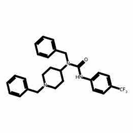 O=C(Nc1ccc(C(F)(F)F)cc1)N(Cc1ccccc1)C1CCN(Cc2ccccc2)CC1